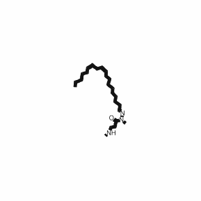 CCCCC/C=C\C/C=C\CCCCCCCC/C=N/N(C)C(=O)CCNC